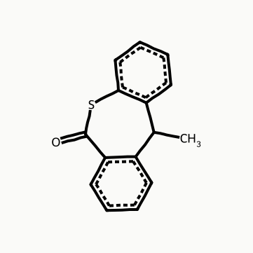 CC1c2ccccc2SC(=O)c2ccccc21